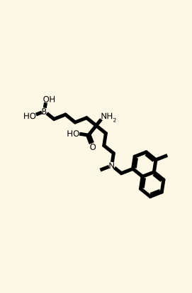 Cc1ccc(CN(C)CCCC(N)(CCCCB(O)O)C(=O)O)c2ccccc12